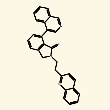 O=C1c2c(cccc2-c2cncc3ccccc23)CN1CCc1ccc2ccccc2n1